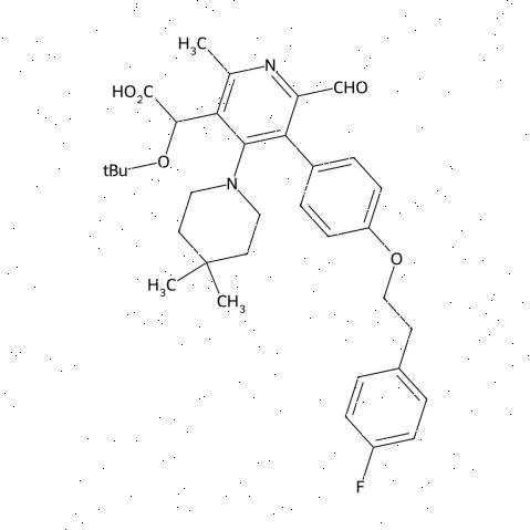 Cc1nc(C=O)c(-c2ccc(OCCc3ccc(F)cc3)cc2)c(N2CCC(C)(C)CC2)c1C(OC(C)(C)C)C(=O)O